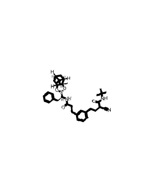 CC(C)(C)NC(=O)C(C#N)CCc1cccc(CCC(=O)N[C@@H](Cc2ccccc2)B2O[C@@H]3C[C@@H]4C[C@@H](C4(C)C)[C@]3(C)O2)c1